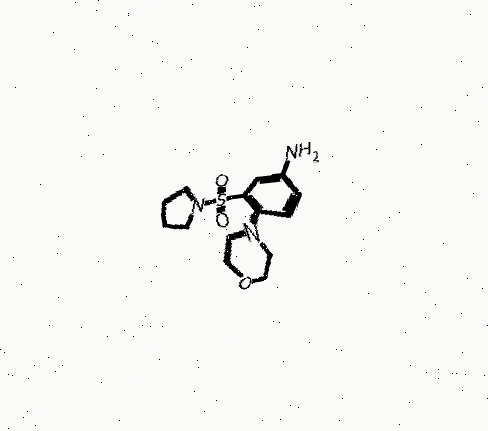 Nc1ccc(N2CCOCC2)c(S(=O)(=O)N2CCCC2)c1